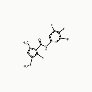 Cn1cc(SO)c(F)c1C(=O)Nc1cc(F)c(F)c(F)c1